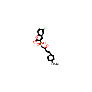 COc1ccc(C=CC(=O)CS(=O)(=O)c2cc3cc(Cl)ccc3oc2=O)cc1